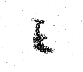 [2H]C1([2H])N(CC[C@H](CSc2ccccc2)Nc2ccc(S(=O)(=O)NC(=O)c3ccc(N4CCN(CC5=C(c6ccc(Cl)cc6)CCC(C)(C)C5)CC4)cc3)cc2S(=O)(=O)C(F)(F)F)C([2H])([2H])C([2H])([2H])N(Cc2ccc3c(c2)C(=O)N(C2CCC(=O)NC2=O)C3=O)C1([2H])[2H]